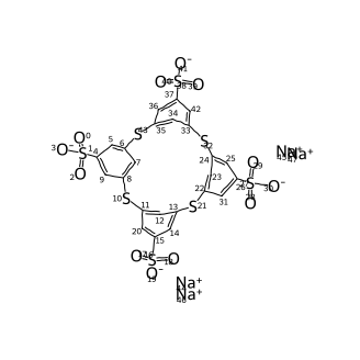 O=S(=O)([O-])c1cc2cc(c1)Sc1cc(cc(S(=O)(=O)[O-])c1)Sc1cc(cc(S(=O)(=O)[O-])c1)Sc1cc(cc(S(=O)(=O)[O-])c1)S2.[Na+].[Na+].[Na+].[Na+]